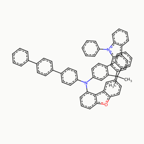 CC1(C)c2ccccc2-c2ccc(N(c3ccc(-c4ccc(-c5ccccc5)cc4)cc3)c3cccc4oc5ccc(-c6ccc7c8ccccc8n(-c8ccccc8)c7c6)cc5c34)cc21